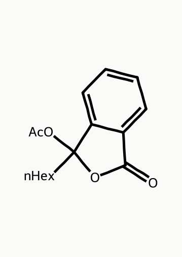 CCCCCCC1(OC(C)=O)OC(=O)c2ccccc21